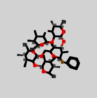 CCC1O[C@H](OC2[C@@H](OCC3O[C@H](Sc4ccccc4)C(C)[C@@H](O[C@H]4O[C@@H](CC)[C@@H](C)C(C)C4O[C@H]4O[C@@H](CC)[C@@H](C)C(C)C4C)[C@@H]3C)OC(CC)[C@@H](C)[C@@H]2C)C(C)[C@@H](C)[C@@H]1C